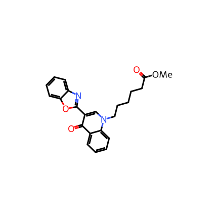 COC(=O)CCCCCn1cc(-c2nc3ccccc3o2)c(=O)c2ccccc21